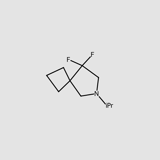 CC(C)N1CC(F)(F)C2(CCC2)C1